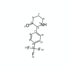 O=C1CCCNC1c1ccc(C(F)(F)F)cc1